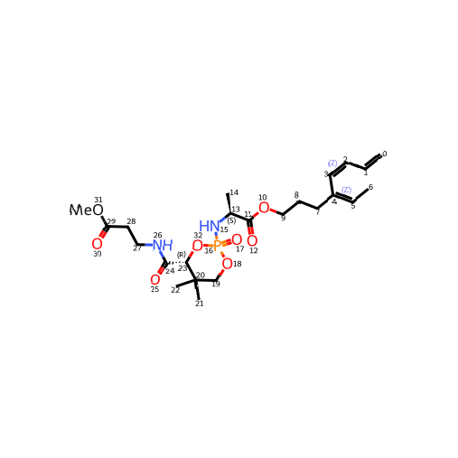 C=C/C=C\C(=C/C)CCCOC(=O)[C@H](C)NP1(=O)OCC(C)(C)[C@H](C(=O)NCCC(=O)OC)O1